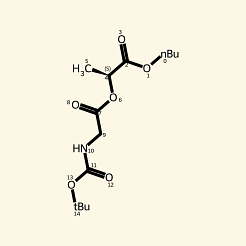 CCCCOC(=O)[C@H](C)OC(=O)CNC(=O)OC(C)(C)C